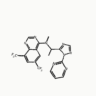 CC(c1ncnn1-c1ncccn1)N(C)c1ncnc2c(C(F)(F)F)cc(C(F)(F)F)cc12